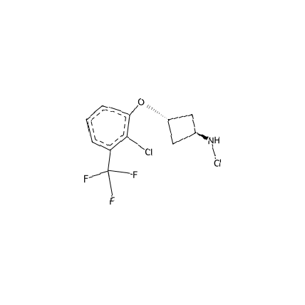 FC(F)(F)c1cccc(O[C@H]2C[C@H](NCl)C2)c1Cl